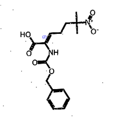 CC(C)(CC/C=C(\NC(=O)OCc1ccccc1)C(=O)O)[N+](=O)[O-]